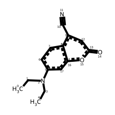 CCN(CC)c1ccc2c(C#N)cc(=O)oc2c1